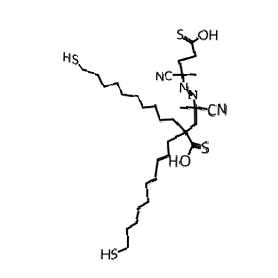 CC(C#N)(CCC(O)=S)N=NC(C)(C#N)CC(CCCCCCCCCCS)(CCCCCCCCCCS)C(O)=S